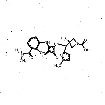 Cc1ccc(C(Nc2c(Nc3cccc(C(=O)N(C)C)c3O)c(=O)c2=O)C2(C)CN(C(=O)O)C2)o1